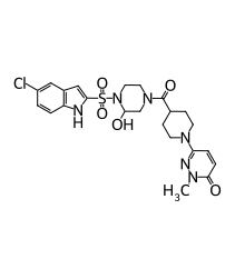 Cn1nc(N2CCC(C(=O)N3CCN(S(=O)(=O)c4cc5cc(Cl)ccc5[nH]4)C(O)C3)CC2)ccc1=O